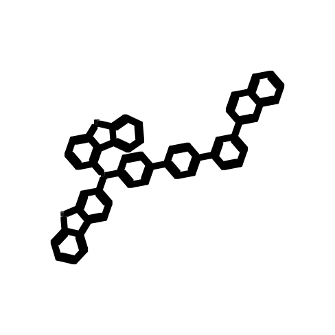 c1cc(-c2ccc(-c3ccc(N(c4ccc5c(c4)sc4ccccc45)c4cccc5sc6ccccc6c45)cc3)cc2)cc(-c2ccc3ccccc3c2)c1